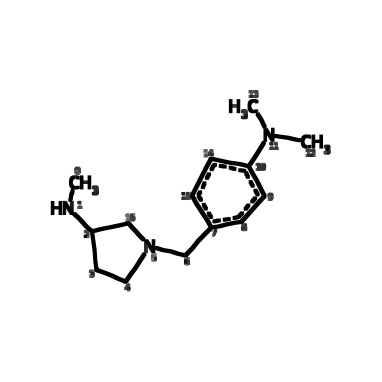 CNC1CCN(Cc2ccc(N(C)C)cc2)C1